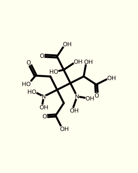 O=C(O)CC(CC(=O)O)(N(O)O)C(C(O)C(=O)O)(N(O)O)C(O)(O)C(=O)O